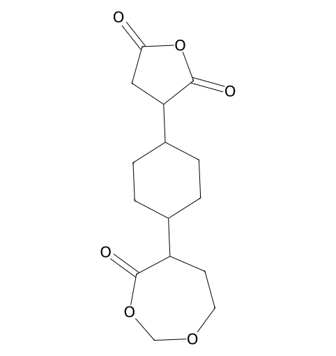 O=C1CC(C2CCC(C3CCOCOC3=O)CC2)C(=O)O1